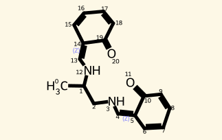 CC(CN/C=C1/C=CC=CC1=O)N/C=C1/C=CC=CC1=O